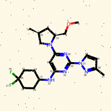 COC[C@@H]1C[C@H](C)CN1c1cc(NC2CCC(F)(F)CC2)nc(-n2ccc(C)n2)n1